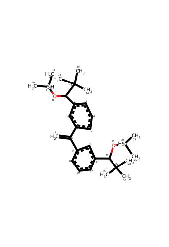 C=C(c1cccc(C(O[SiH](C)C)C(C)(C)C)c1)c1cccc(C(O[SiH](C)C)C(C)(C)C)c1